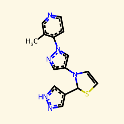 Cc1cnccc1-n1cc(N2C=CSC2c2cn[nH]c2)cn1